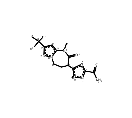 CN1C(=O)C(c2nc(C(N)=O)n[nH]2)CCn2nc(C(C)(F)F)cc21